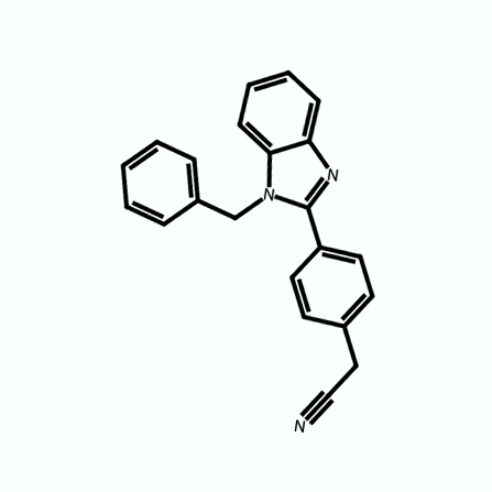 N#CCc1ccc(-c2nc3ccccc3n2Cc2ccccc2)cc1